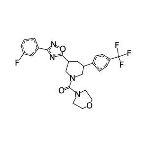 O=C(N1CCOCC1)N1CC(c2ccc(C(F)(F)F)cc2)CC(c2nc(-c3cccc(F)c3)no2)C1